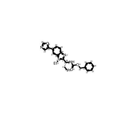 CCn1c([C@@H](CC(C)C)NC(=O)OCc2ccccc2)nc2ccc(-c3cnco3)cc21